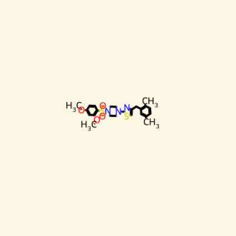 COc1ccc(S(=O)(=O)N2CCN(c3nc(Cc4cc(C)ccc4C)cs3)CC2)c(OC)c1